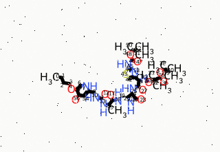 CCCCOc1c[nH]c(CNC(=O)N[C@@H](C)C(=O)NC[C@H]2NC(=O)[C@H]2NC(=O)/C(=N\OC(C)(C)C(=O)OC(C)(C)C)c2csc(NC(=O)OC(C)(C)C)n2)cc1=O